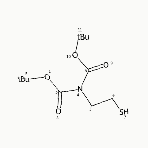 CC(C)(C)OC(=O)N(CCS)C(=O)OC(C)(C)C